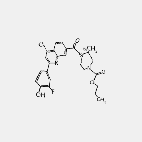 CCCOC(=O)N1CCN(C(=O)c2ccc3c(Cl)cc(-c4ccc(O)c(F)c4)nc3c2)[C@@H](C)C1